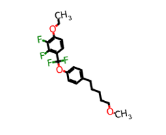 CCOc1ccc(C(F)(F)Oc2ccc(CCCCCOC)cc2)c(F)c1F